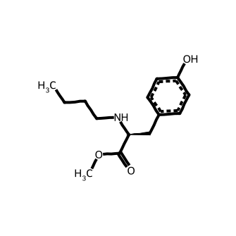 CCCCN[C@@H](Cc1ccc(O)cc1)C(=O)OC